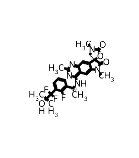 Cc1nc(N[C@H](C)c2cccc(C(F)(F)C(C)(C)O)c2F)c2cc3c(cc2n1)[C@]1(CN(C)C(=O)O1)C(=O)N3C